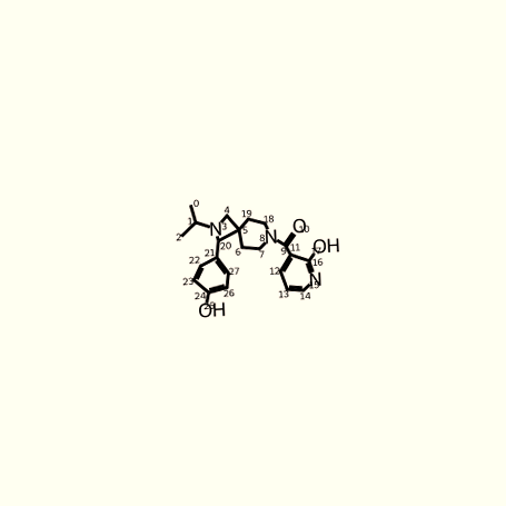 CC(C)N1CC2(CCN(C(=O)c3cccnc3O)CC2)C1c1ccc(O)cc1